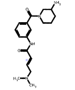 CN(C)C/C=C/C(=O)Nc1cccc(C(=O)N2CCCC(N)C2)c1